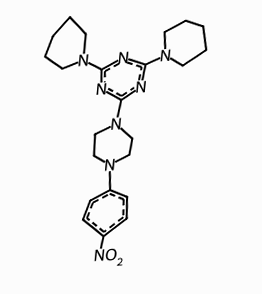 O=[N+]([O-])c1ccc(N2CCN(c3nc(N4CCCCC4)nc(N4CCCCC4)n3)CC2)cc1